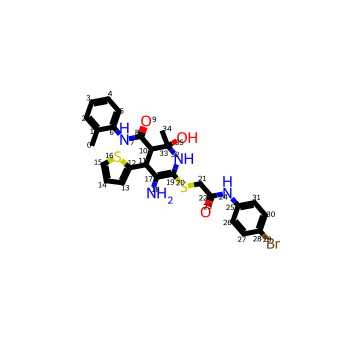 Cc1ccccc1NC(=O)C1C(c2cccs2)C(N)=C(SCC(=O)Nc2ccc(Br)cc2)NC1(C)O